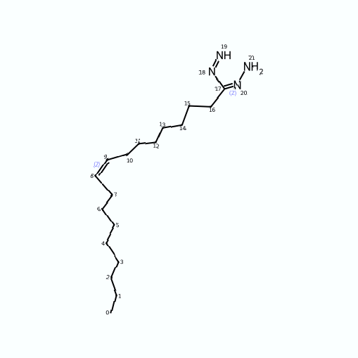 CCCCCCCC/C=C\CCCCCCC/C(N=N)=N/N